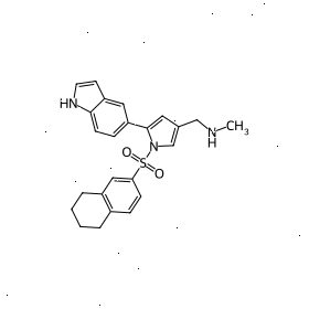 CNCc1cc(-c2ccc3[nH]ccc3c2)n(S(=O)(=O)c2ccc3c(c2)CCCC3)c1